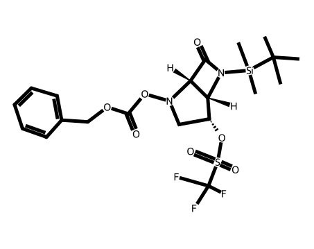 CC(C)(C)[Si](C)(C)N1C(=O)[C@@H]2[C@H]1[C@H](OS(=O)(=O)C(F)(F)F)CN2OC(=O)OCc1ccccc1